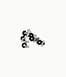 Cc1ccc2c(NS(=O)(=O)c3ccc4c(c3)OCO4)c(F)ccc2c1Oc1ncccc1-c1ccnc(N[C@H]2CCCNC2)n1